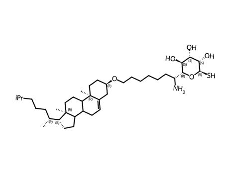 CC(C)CCC[C@@H](C)[C@H]1CCC2C3CC=C4C[C@H](OCCCCCCC(N)[C@H]5O[C@H](S)[C@@H](O)[C@@H](O)[C@@H]5O)CC[C@]4(C)C3CC[C@@]21C